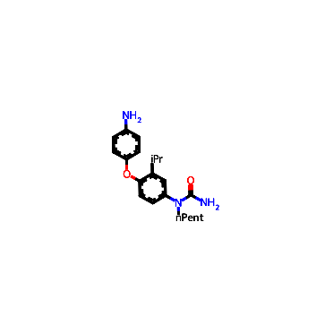 CCCCCN(C(N)=O)c1ccc(Oc2ccc(N)cc2)c(C(C)C)c1